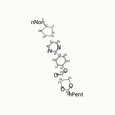 CCCCCCCCC[C@H]1CC[C@H](c2cnc(-c3ccc(OC(=O)[C@H]4CO[C@H](CCCCC)OC4)cc3)nc2)CC1